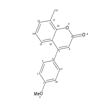 COc1ccc(-c2cc(=O)oc3c(C)[c]ccc23)cc1